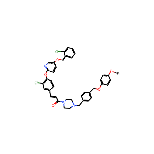 CC(C)Oc1ccc(OCc2ccc(CN3CCN(C(=O)C=Cc4ccc(Oc5ccc(OCc6ccccc6Cl)cn5)c(Cl)c4)CC3)cc2)cc1